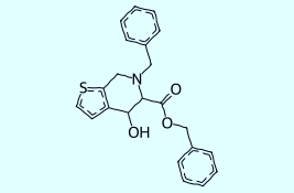 O=C(OCc1ccccc1)C1C(O)c2ccsc2CN1Cc1ccccc1